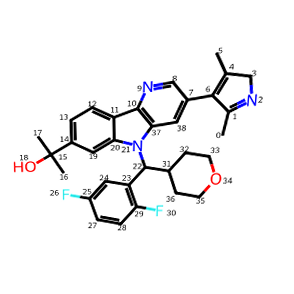 CC1=NCC(C)=C1c1cnc2c3ccc(C(C)(C)O)cc3n(C(c3cc(F)ccc3F)C3CCOCC3)c2c1